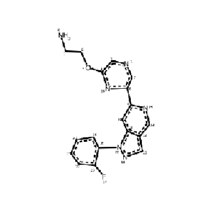 NCCOc1cncc(-c2cc3c(cn2)cnn3-c2ccccc2F)n1